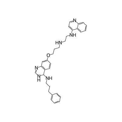 C1=Nc2cc(OCCCNCCNc3ccnc4ccccc34)ccc2C(NCCCc2ccccc2)N1